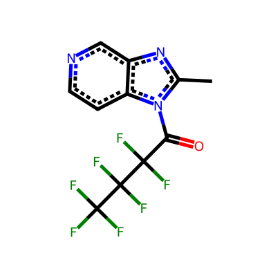 Cc1nc2cnccc2n1C(=O)C(F)(F)C(F)(F)C(F)(F)F